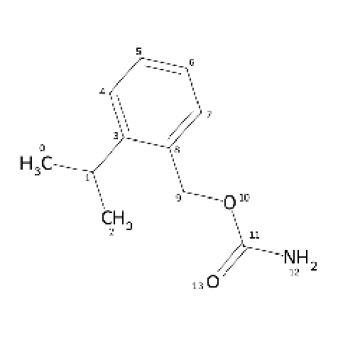 CC(C)c1ccccc1COC(N)=O